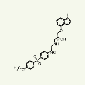 COc1ccc(S(=O)(=O)c2ccc(CCNC[C@H](O)COc3cccc4[nH]ccc34)cc2)cc1.Cl